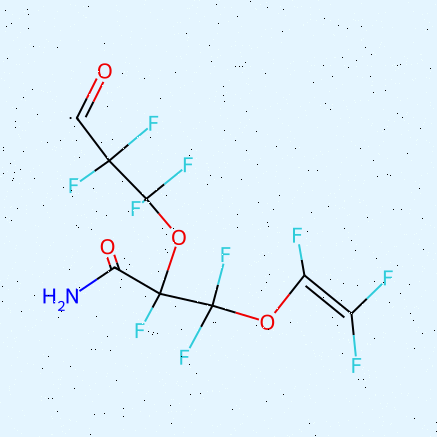 NC(=O)C(F)(OC(F)(F)C(F)(F)[C]=O)C(F)(F)OC(F)=C(F)F